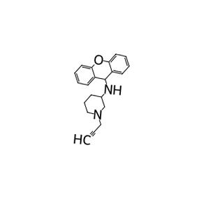 C#CCN1CCCC(NC2c3ccccc3Oc3ccccc32)C1